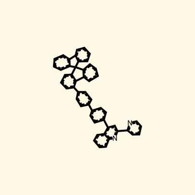 c1ccc(-c2cc(-c3ccc(-c4ccc(-c5cccc6c5-c5ccccc5C65c6ccccc6-c6ccccc65)cc4)cc3)c3ccccc3n2)nc1